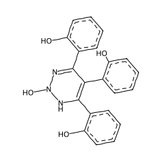 Oc1ccccc1C1=NN(O)NC(c2ccccc2O)=C1c1ccccc1O